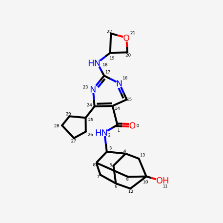 O=C(NC1C2CC3CC1CC(O)(C3)C2)c1cnc(NC2COC2)nc1C1CCCC1